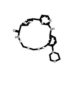 O=C1NCCCCOCc2cc(ccc2N2CCSCC2)Nc2nccc(n2)-c2ccc1cc2